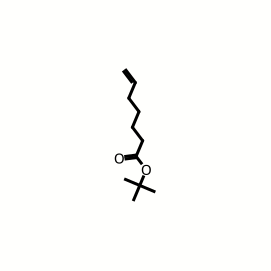 C=CCCCCC(=O)OC(C)(C)C